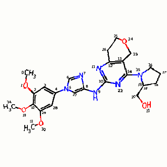 COc1cc(-n2cnc(Nc3nc4c(c(N5CCC[C@H]5CO)n3)COCC4)c2)cc(OC)c1OC